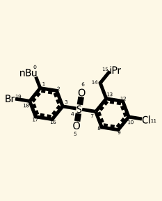 CCCCc1cc(S(=O)(=O)c2ccc(Cl)cc2CC(C)C)ccc1Br